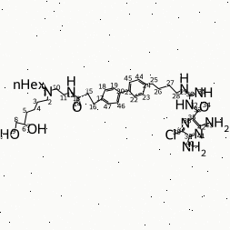 CCCCCCN(CCCCC(O)CO)CCNC(=O)CCc1ccc(-c2ccc(CCCCNC(=N)NC(=O)c3nc(Cl)c(N)nc3N)cc2)cc1